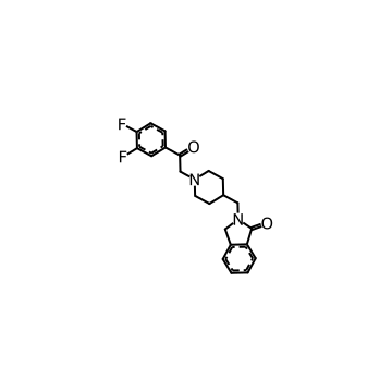 O=C(CN1CCC(CN2Cc3ccccc3C2=O)CC1)c1ccc(F)c(F)c1